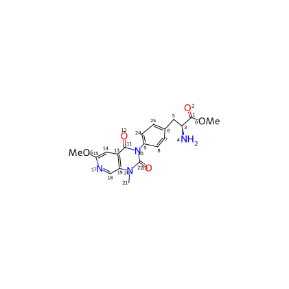 COC(=O)[C@@H](N)Cc1ccc(-n2c(=O)c3cc(OC)ncc3n(C)c2=O)cc1